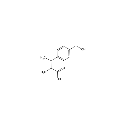 CC(C(=O)O)C(C)c1ccc(CO)cc1